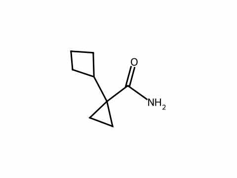 NC(=O)C1(C2CCC2)CC1